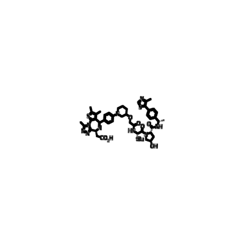 Cc1ncsc1-c1ccc([C@H](C)NC(=O)[C@@H]2C[C@@H](O)CN2C(=O)[C@@H](NC(=O)COC2CCCN(c3ccc(C4=N[C@@H](CC(=O)O)c5nnc(C)n5-c5sc(C)c(C)c54)cc3)C2)C(C)(C)C)cc1